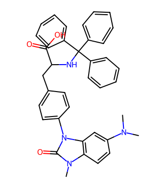 CN(C)c1ccc2c(c1)n(-c1ccc(CC(NC(c3ccccc3)(c3ccccc3)c3ccccc3)C(=O)O)cc1)c(=O)n2C